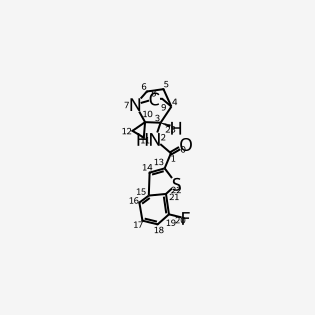 O=C(N[C@H]1C2CCN(CC2)C12CC2)c1cc2cccc(F)c2s1